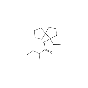 CCC(C)C(=O)OC1(CC)CCCC12CCCC2